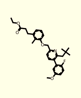 CCOC(=O)CCc1cccc(OCc2ccc(-c3cc(OC)ccc3F)c(CC(C)(C)C)n2)c1C